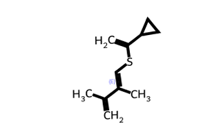 C=C(C)/C(C)=C/SC(=C)C1CC1